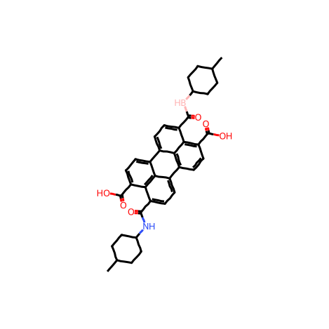 CC1CCC(BC(=O)c2ccc3c4ccc(C(=O)O)c5c(C(=O)NC6CCC(C)CC6)ccc(c6ccc(C(=O)O)c2c36)c54)CC1